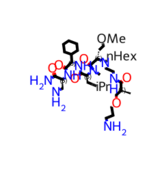 CCCCCCN(CCNC(=O)[C@@H](C)COCCCN)[C@@H](CCOC)C(=O)N(C)[C@@H](CC(C)C)C(=O)N[C@H](C(=O)N[C@@H](CN)C(N)=O)C1CCCCC1